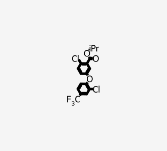 CC(C)OC(=O)c1cc(Oc2ccc(C(F)(F)F)cc2Cl)ccc1Cl